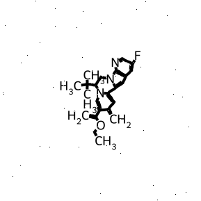 C=C1C=C2c3cc4cc(F)cnc4n3CC(C(C)(C)C)N2C=C1C(=C)OCC